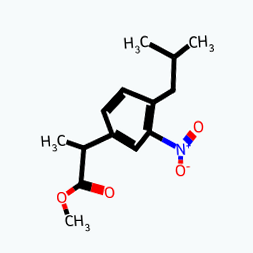 COC(=O)C(C)c1ccc(CC(C)C)c([N+](=O)[O-])c1